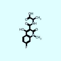 CC(NC(=O)c1c(O)c2ccc(F)cc2n(C)c1=O)C(=O)O